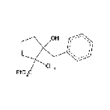 CCOC(=O)C1(C)CCCC1(O)Cc1ccccc1